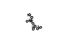 c1ccc(-c2cc(-c3ccc(-c4ccc(-c5cccc6c5sc5ccccc56)c5c4oc4ccccc45)cc3)nc(-c3cccc(-c4cccnc4)c3)n2)cc1